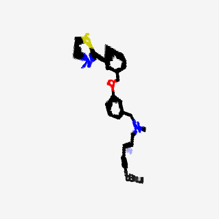 CN(C/C=C/C#CC(C)(C)C)Cc1cccc(OCc2cccc(-c3nccs3)c2)c1